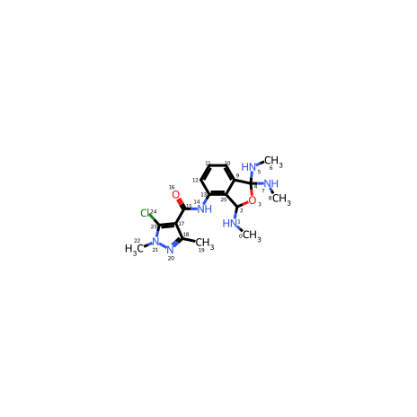 CNC1OC(NC)(NC)c2cccc(NC(=O)c3c(C)nn(C)c3Cl)c21